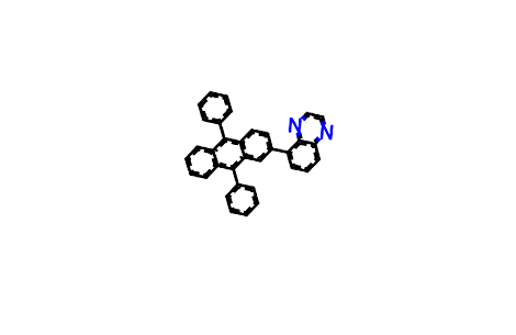 c1ccc(-c2c3ccccc3c(-c3ccccc3)c3cc(-c4cccc5nccnc45)ccc23)cc1